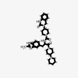 Cc1nc2cc(CC(NC(=O)N3CCC(N4Cc5ccccc5NC4=O)CC3)C(=O)N3CCC(N4CCCCC4)CC3)ccc2[nH]1